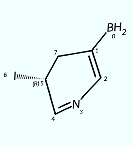 BC1=CN=C[C@H](I)C1